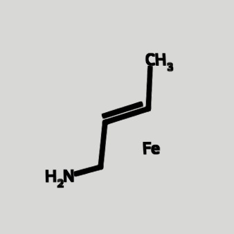 CC=CCN.[Fe]